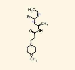 C=C(/C=C(Br)\C=C/C)NC(=O)CCN1CCN(C)CC1